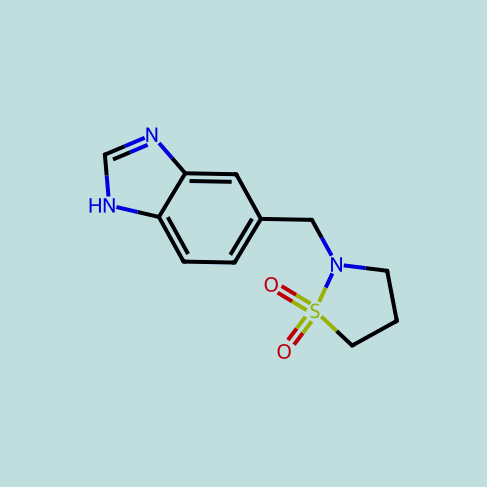 O=S1(=O)CCCN1Cc1ccc2[nH]cnc2c1